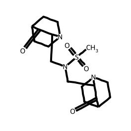 CS(=O)(=O)N(CC1C(=O)C2CCN1CC2)CC1C(=O)C2CCN1CC2